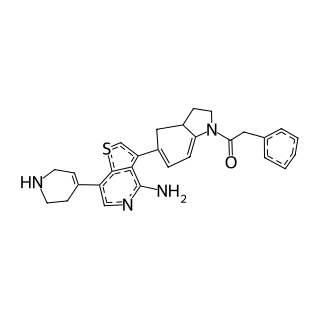 Nc1ncc(C2=CCNCC2)c2scc(C3=CC=C4C(CCN4C(=O)Cc4ccccc4)C3)c12